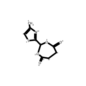 Cc1csc(C2OC(=O)CCC(=O)O2)n1